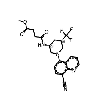 COC(=O)CCC(=O)N[C@H]1C[C@@H](C(F)(F)F)CN(c2ccc(C#N)c3ncccc23)C1